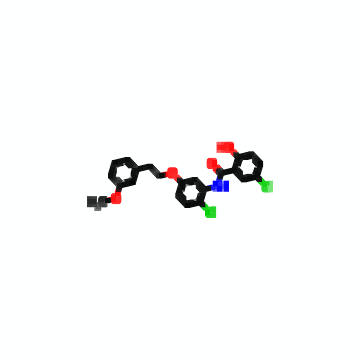 COc1cccc(CCOc2ccc(Cl)c(NC(=O)c3cc(Cl)ccc3O)c2)c1